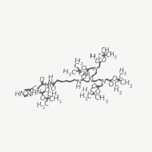 CC(C)(C)OC(=O)CN(CCN(CCN(CC(=O)OC(C)(C)C)CC(=O)OC(C)(C)C)CC(=O)NCCCCCC(=O)NNC(=O)[C@@H](Cc1c[nH]cn1)NC(=O)OC(C)(C)C)CC(=O)OC(C)(C)C